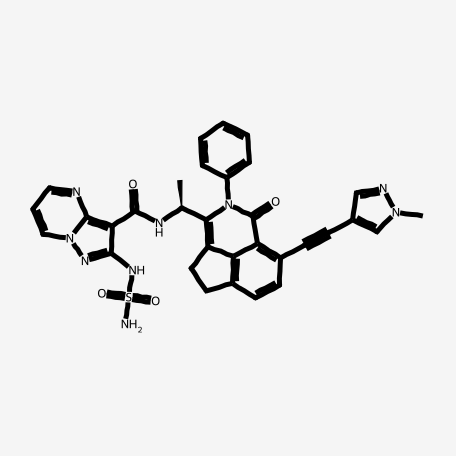 C[C@H](NC(=O)c1c(NS(N)(=O)=O)nn2cccnc12)c1c2c3c(ccc(C#Cc4cnn(C)c4)c3c(=O)n1-c1ccccc1)CC2